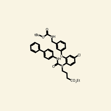 CCOC(=O)CCCN(C(=O)Nc1ccc(-c2ccccc2)cc1)c1ccc(Cl)cc1Oc1cccc(CNC(=O)OC(C)(C)C)c1